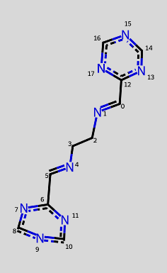 C(=NCCN=Cc1ncncn1)c1ncncn1